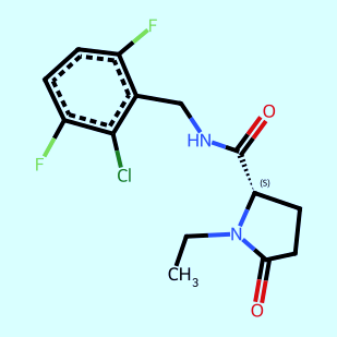 CCN1C(=O)CC[C@H]1C(=O)NCc1c(F)ccc(F)c1Cl